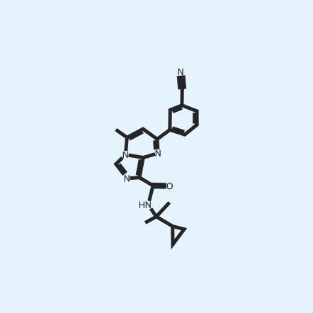 Cc1cc(-c2cccc(C#N)c2)nc2c(C(=O)NC(C)(C)C3CC3)ncn12